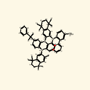 Cc1cc2c3c(c1)N(c1ccc(C(C)(C)C)cc1-c1ccccc1)c1cc4c(cc1B3c1cc(C(C)(C)c3ccccc3)ccc1N2c1cc2c(cc1C)C(C)(C)CCC2(C)C)C(C)(C)CCC4(C)C